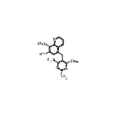 CCCc1cc(Cc2c(N)nc(N)nc2SC)c2cccnc2c1OC